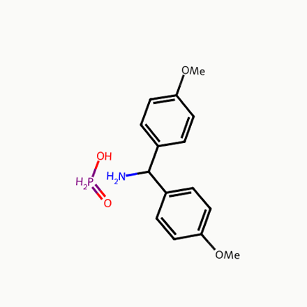 COc1ccc(C(N)c2ccc(OC)cc2)cc1.O=[PH2]O